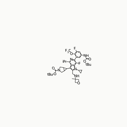 CC(C)c1nc(-c2cc(NC(=O)OC(C)(C)C)cc(F)c2OC(F)(F)F)c(F)c2c1c(C1C3CN(C(=O)OC(C)(C)C)CC31)c(CNC1(C)COC1)n2C1CC1